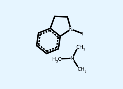 CN(C)C.IN1CCc2ccccc21